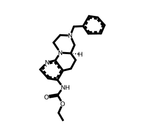 CCOC(=O)Nc1ccnc2c1CC[C@@H]1CN(Cc3ccccc3)CCN21